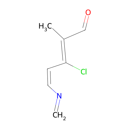 C=N/C=C\C(Cl)=C(/C)C=O